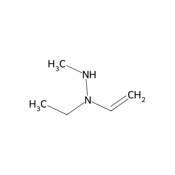 C=CN(CC)NC